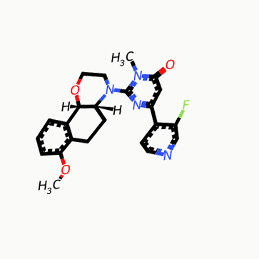 COc1cccc2c1CC[C@@H]1[C@H]2OCCN1c1nc(-c2ccncc2F)cc(=O)n1C